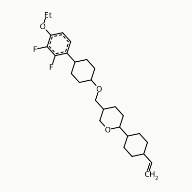 C=CC1CCC(C2CCC(COC3CCC(c4ccc(OCC)c(F)c4F)CC3)CO2)CC1